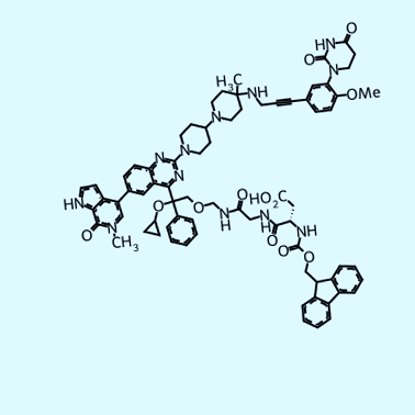 COc1ccc(C#CCNC2(C)CCN(C3CCN(c4nc(C(COCNC(=O)CNC(=O)[C@H](CC(=O)O)NC(=O)OCC5c6ccccc6-c6ccccc65)(OC5CC5)c5ccccc5)c5cc(-c6cn(C)c(=O)c7[nH]ccc67)ccc5n4)CC3)CC2)cc1N1CCC(=O)NC1=O